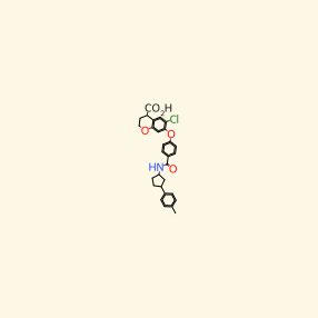 Cc1ccc(C2CCC(NC(=O)c3ccc(Oc4cc5c(cc4Cl)C(C(=O)O)CCO5)cc3)C2)cc1